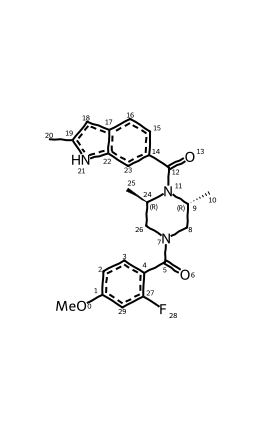 COc1ccc(C(=O)N2C[C@@H](C)N(C(=O)c3ccc4cc(C)[nH]c4c3)[C@H](C)C2)c(F)c1